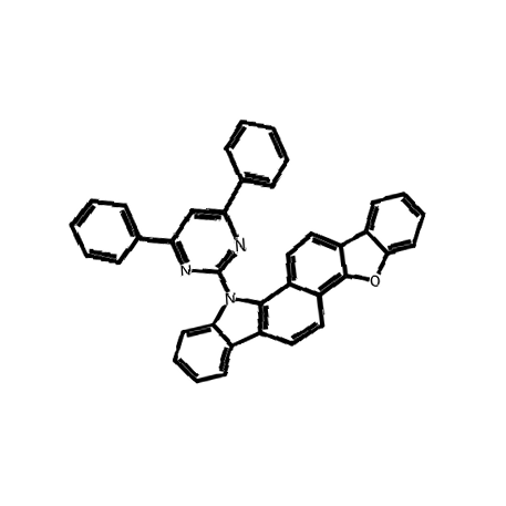 c1ccc(-c2cc(-c3ccccc3)nc(-n3c4ccccc4c4ccc5c(ccc6c7ccccc7oc65)c43)n2)cc1